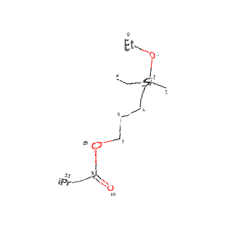 CCO[Si](C)(C)CCCOC(=O)C(C)C